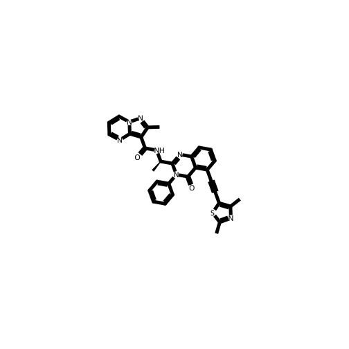 Cc1nc(C)c(C#Cc2cccc3nc([C@@H](C)NC(=O)c4c(C)nn5cccnc45)n(-c4ccccc4)c(=O)c23)s1